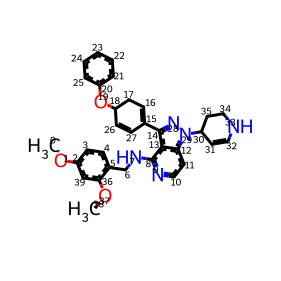 COc1ccc(CNc2nccc3c2c(C2=CCC(Oc4ccccc4)C=C2)nn3C2C=CNCC2)c(OC)c1